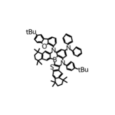 CC(C)(C)c1ccc(N2c3cc(N(c4ccccc4)c4ccccc4)cc4c3B(c3cc5c(cc3N4c3cccc4c3oc3ccc(C(C)(C)C)cc34)C(C)(C)CCC5(C)C)c3sc4cc5c(cc4c32)C(C)(C)CCC5(C)C)cc1